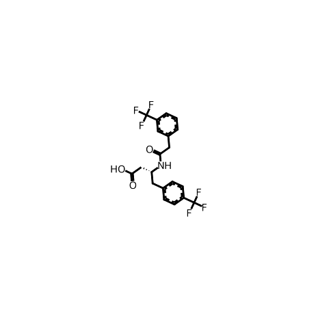 O=C(O)C[C@@H](Cc1ccc(C(F)(F)F)cc1)NC(=O)Cc1cccc(C(F)(F)F)c1